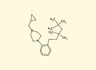 CC(C)(C)CC(C)(C)CCc1ccccc1N1CCN(CC2CC2)CC1